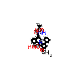 COc1ccc(C2CCCCC2)c2c1cc1n2CC2=C(C(=O)NS(=O)(=O)C3CC3)C2=C2C=CC[C@@H](C(=O)O)C21